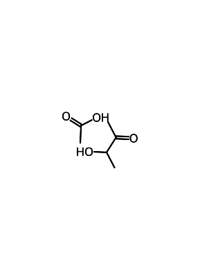 CC(=O)C(C)O.CC(=O)O